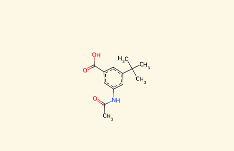 CC(=O)Nc1cc(C(=O)O)cc(C(C)(C)C)c1